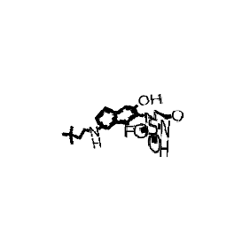 CC(C)(C)CCNc1ccc2cc(O)c(N3CC(=O)NS3(=O)=O)c(F)c2c1